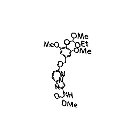 CCOC(OC)Oc1c(OC)cc(COc2ccc3nc(NC(=O)OC)cn3n2)cc1OC